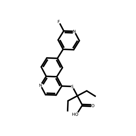 CCC(CC)(Sc1ccnc2ccc(-c3ccnc(F)c3)cc12)C(=O)O